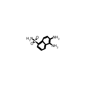 Nc1ccc2c(S(N)(=O)=O)cccc2c1N